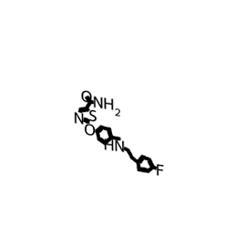 NC(=O)c1cnc(Oc2ccc(CNCCc3ccc(F)cc3)cc2)s1